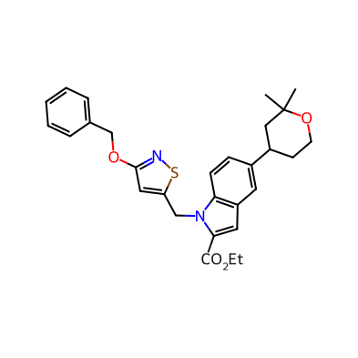 CCOC(=O)c1cc2cc(C3CCOC(C)(C)C3)ccc2n1Cc1cc(OCc2ccccc2)ns1